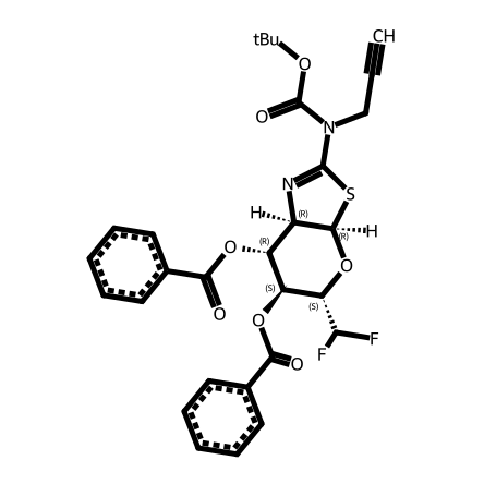 C#CCN(C(=O)OC(C)(C)C)C1=N[C@@H]2[C@@H](OC(=O)c3ccccc3)[C@H](OC(=O)c3ccccc3)[C@@H](C(F)F)O[C@@H]2S1